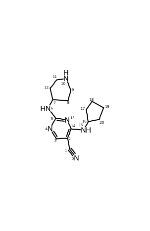 N#Cc1cnc(NC2CCNCC2)nc1NC1CCCC1